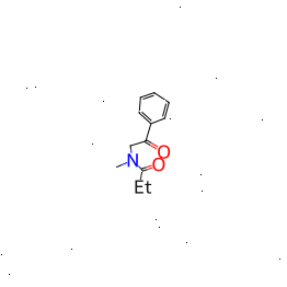 CCC(=O)N(C)CC(=O)c1ccccc1